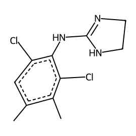 Cc1cc(Cl)c(NC2=NCCN2)c(Cl)c1C